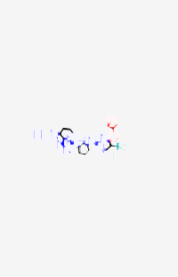 Nc1cccn2c([C@H]3CCC[C@@H](Nc4ncc(C(F)(F)F)c(OC5COC5)n4)C3)nnc12